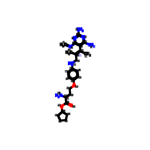 C=Nc1nc(N)nc(N)c1/C(C)=C(\C)CNc1ccc(OCC[C@H](N)C(=O)OC2CCCC2)cc1